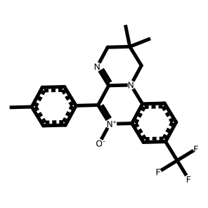 Cc1ccc(C2=[N+]([O-])c3cc(C(F)(F)F)ccc3N3CC(C)(C)CN=C23)cc1